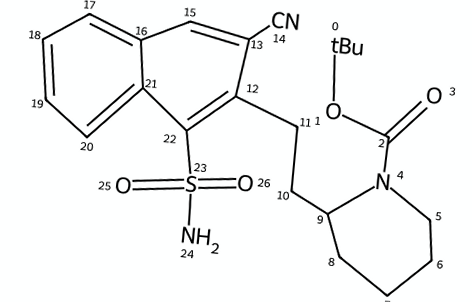 CC(C)(C)OC(=O)N1CCCCC1CCc1c(C#N)cc2ccccc2c1S(N)(=O)=O